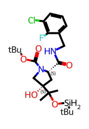 CC(C)(C)OC(=O)N1C[C@](O)(C(C)(C)O[SiH2]C(C)(C)C)C[C@H]1C(=O)NCc1cccc(Cl)c1F